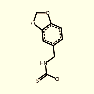 S=C(Cl)NCc1ccc2c(c1)OCO2